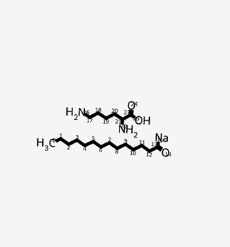 CCCCCCCCCCCCC[C](=O)[Na].NCCCCC(N)C(=O)O